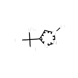 CCn1cc(C(C)(C)C(C)(C)C)nn1